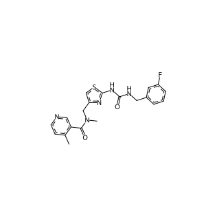 Cc1ccncc1C(=O)N(C)Cc1csc(NC(=O)NCc2cccc(F)c2)n1